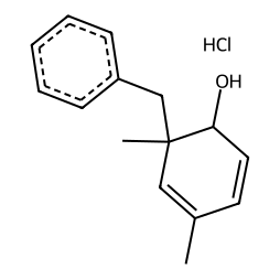 CC1=CC(C)(Cc2ccccc2)C(O)C=C1.Cl